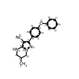 CC1CNc2c(C#N)c(-c3ccc(Oc4ccccc4)cc3)nn2C1